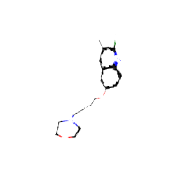 Cc1cc2cc(OCCCN3CCOCC3)ccc2nc1Cl